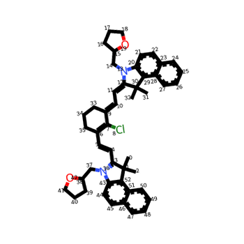 CC1(C)C(/C=C/C2=C(Cl)C(=C/C=C3/N(CC4CCCO4)c4ccc5ccccc5c4C3(C)C)/CCC2)=[N+](CC2CCCO2)c2ccc3ccccc3c21